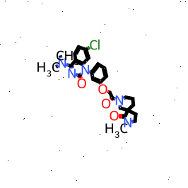 CN1CCC2(CCCN(C(=O)COc3cccc(-n4c(=O)nc(N(C)C)c5ccc(Cl)cc54)c3)C2)C1=O